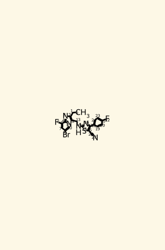 CCc1nc2c(F)cc(Br)cn2c1CNc1nc(-c2ccc(F)cc2)c(C#N)s1